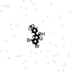 O=c1c(O)c(-c2ccc3c(c2)OCO3)oc2c(Br)cc(Br)cc12